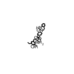 CCc1cc(C[C@@H](OC(=O)N2CCC(N3CCc4ccccc4NC3=O)CC2)C(N)=O)cc(C)c1O